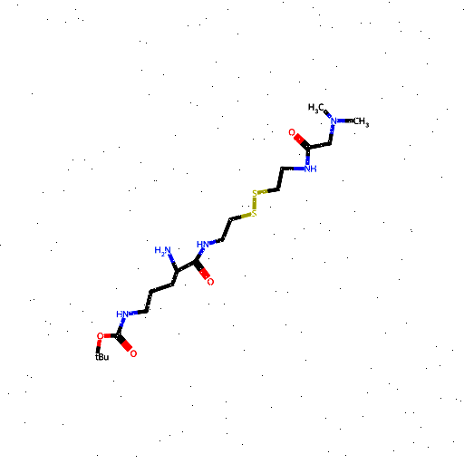 CN(C)CC(=O)NCCSSCCNC(=O)C(N)CCCNC(=O)OC(C)(C)C